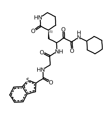 O=C(CNC(=O)c1cc2ccccc2s1)NC(C[C@@H]1CCCNC1=O)C(=O)C(=O)NC1CCCCC1